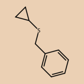 c1ccc(CSC2CC2)cc1